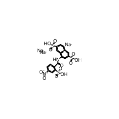 O=C(Nc1cc(S(=O)(=O)O)cc2ccc(S(=O)(=O)O)cc12)c1ccc([N+](=O)[O-])cc1S(=O)(=O)O.[Na].[Na].[Na]